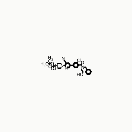 CC(C)(C)OC(=O)N1CCN(c2ncc(-c3ccc(C(=O)N(CCO)Cc4ccccc4)c(Cl)c3)cc2C#N)CC1